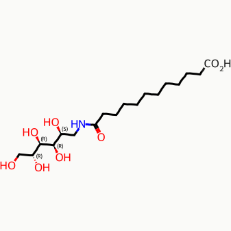 O=C(O)CCCCCCCCCCC(=O)NC[C@H](O)[C@@H](O)[C@H](O)[C@H](O)CO